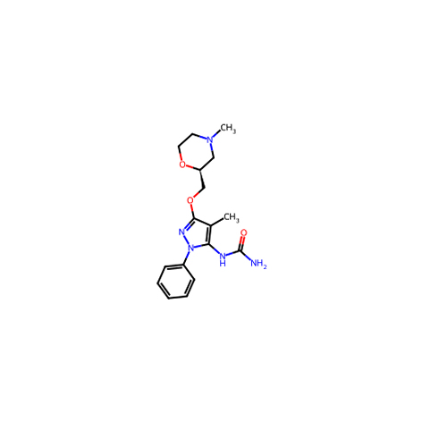 Cc1c(OC[C@@H]2CN(C)CCO2)nn(-c2ccccc2)c1NC(N)=O